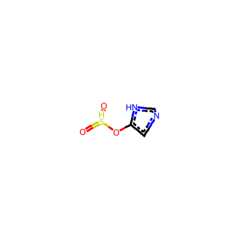 O=[SH](=O)Oc1cnc[nH]1